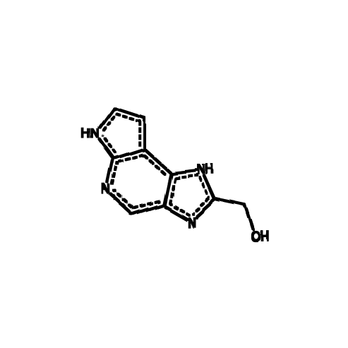 OCc1nc2cnc3[nH]ccc3c2[nH]1